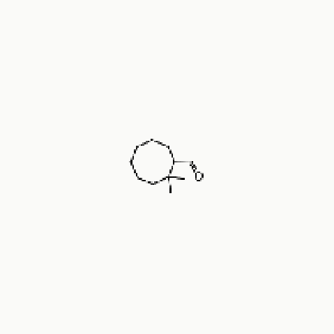 CC1(C)CCCCCCC1C=O